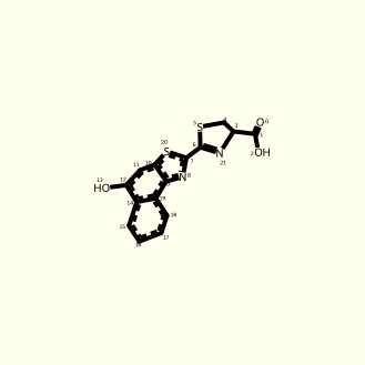 O=C(O)C1CSC(c2nc3c(cc(O)c4ccccc43)s2)=N1